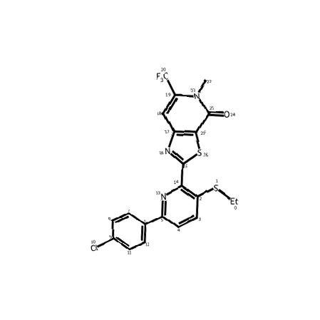 CCSc1ccc(-c2ccc(Cl)cc2)nc1-c1nc2cc(C(F)(F)F)n(C)c(=O)c2s1